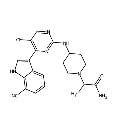 CC(C(N)=O)N1CCC(Nc2ncc(Cl)c(-c3c[nH]c4c(C#N)cccc34)n2)CC1